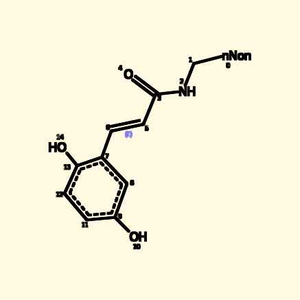 CCCCCCCCCCNC(=O)/C=C/c1cc(O)ccc1O